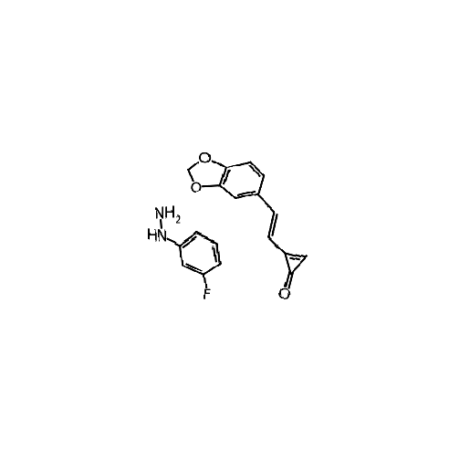 NNc1cccc(F)c1.O=c1cc1C=Cc1ccc2c(c1)OCO2